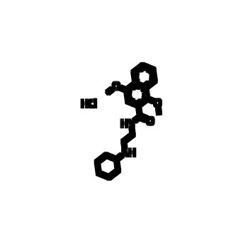 COc1cc(C(=O)NCCNC2CCCCC2)c(OC)c2ccccc12.Cl